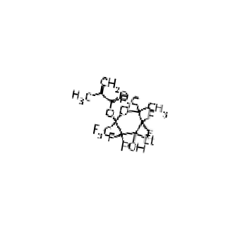 C=C(C)C(=O)OC1(C(F)(F)F)OC(C)(C(F)(F)F)C(F)(F)C(O)(CC)C1(F)F